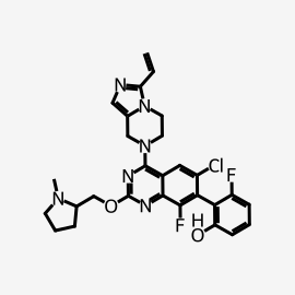 C=Cc1ncc2n1CCN(c1nc(OCC3CCCN3C)nc3c(F)c(-c4c(O)cccc4F)c(Cl)cc13)C2